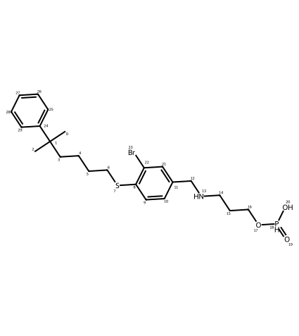 CC(C)(CCCCSc1ccc(CNCCCO[PH](=O)O)cc1Br)c1ccccc1